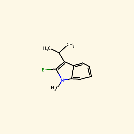 CC(C)c1c(Br)n(C)c2ccccc12